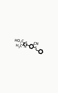 Cc1nc(-c2ccc(SCc3ccccc3)c(C#N)c2)sc1C(=O)O